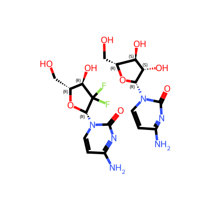 Nc1ccn([C@@H]2O[C@H](CO)[C@@H](O)C2(F)F)c(=O)n1.Nc1ccn([C@@H]2O[C@H](CO)[C@@H](O)[C@@H]2O)c(=O)n1